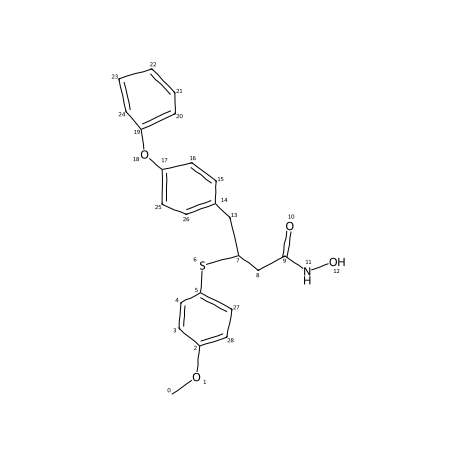 COc1ccc(SC(CC(=O)NO)Cc2ccc(Oc3ccccc3)cc2)cc1